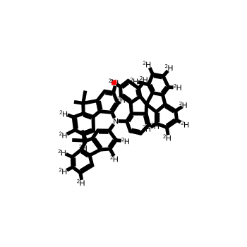 [2H]c1cc([2H])c2c(c1)-c1c(N(c3cc4c(c([2H])c3[2H])-c3cc([2H])c([2H])c([2H])c3C4(C)C)c3c([2H])c([2H])cc4c3-c3cc([2H])c([2H])c([2H])c3C4(C)C)ccc([2H])c1C21c2c([2H])c([2H])c([2H])c([2H])c2-c2c([2H])c([2H])c([2H])c([2H])c21